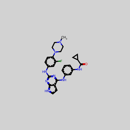 CN1CCN(c2ccc(Nc3nc(Nc4cccc(NC(=O)C5CC5)c4)c4cc[nH]c4n3)cc2F)CC1